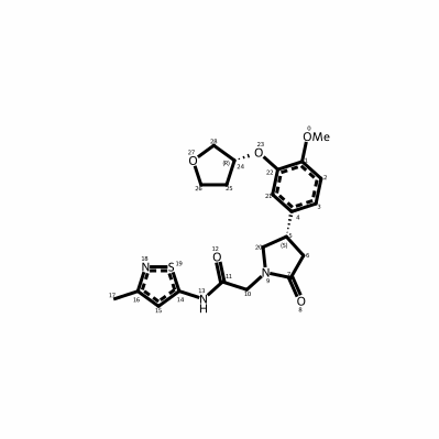 COc1ccc([C@@H]2CC(=O)N(CC(=O)Nc3cc(C)ns3)C2)cc1O[C@@H]1CCOC1